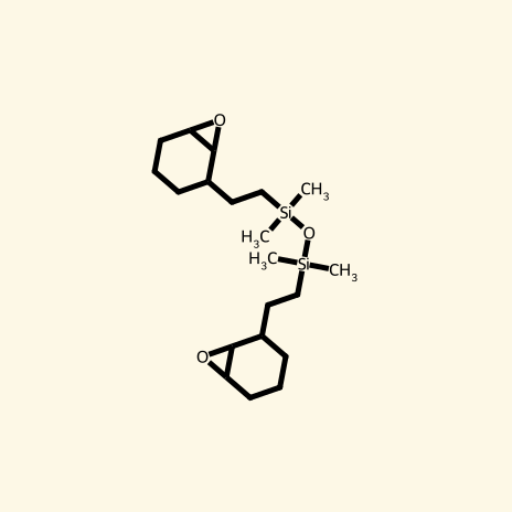 C[Si](C)(CCC1CCCC2OC12)O[Si](C)(C)CCC1CCCC2OC12